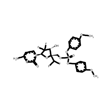 COc1ccc(OP(=O)(OC[C@@]2(C(F)F)O[C@@H](n3ccc(N)nc3=O)C(F)(F)[C@@H]2O)Oc2ccc(OC)cc2)cc1